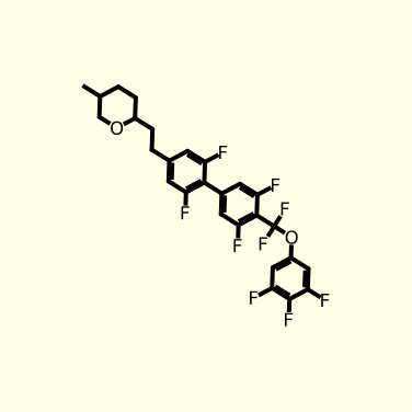 CC1CCC(CCc2cc(F)c(-c3cc(F)c(C(F)(F)Oc4cc(F)c(F)c(F)c4)c(F)c3)c(F)c2)OC1